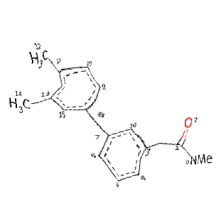 CNC(=O)c1cccc(-c2ccc(C)c(C)c2)c1